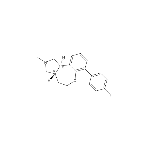 CN1C[C@H]2CCOc3c(-c4ccc(F)cc4)cccc3[C@@H]2C1